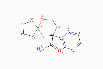 NC(=O)C1(c2ccccn2)CCOC2(CCCC2)C1